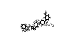 NC[C@]1(c2cccc(CI)c2)CC[C@@H](N2Cc3nnc(Cc4c[nH]c5ccccc45)n3CC2=O)CC1